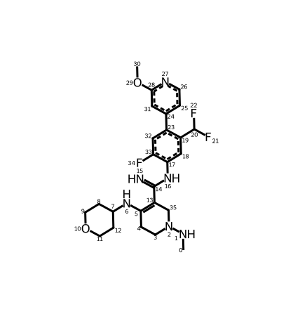 CNN1CCC(NC2CCOCC2)=C(C(=N)Nc2cc(C(F)F)c(-c3ccnc(OC)c3)cc2F)C1